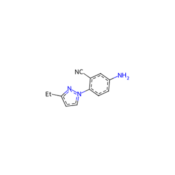 CCc1ccn(-c2ccc(N)cc2C#N)n1